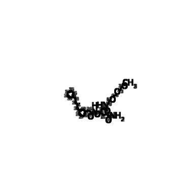 COCCOCCOCCNC(=O)CC(CCC(N)=O)ONC(=O)Cc1cccc(CCCCc2ccccc2)c1